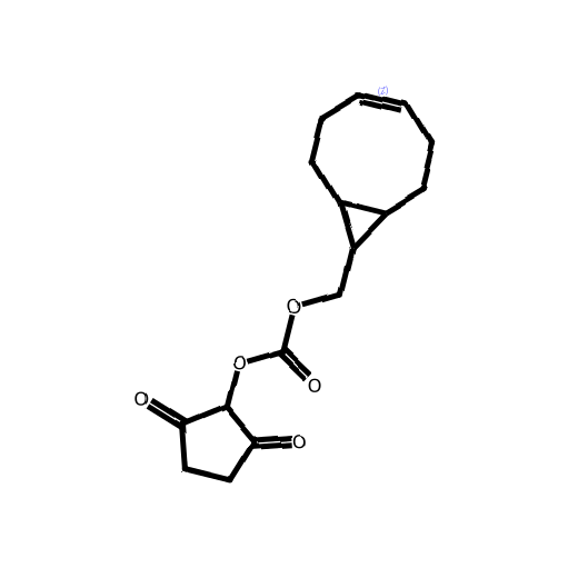 O=C(OCC1C2CC/C=C\CCC21)OC1C(=O)CCC1=O